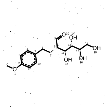 COc1ccc(CC[C@H](C=O)[C@@H](O)[C@H](O)[C@H](O)CO)cc1